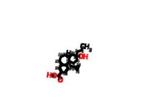 CCC[C@]1(O)CC[C@]2(CC3CC3)c3ccc(C(=O)O)cc3CCC[C@H]2C1